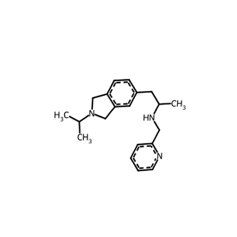 CC(Cc1ccc2c(c1)CN(C(C)C)C2)NCc1ccccn1